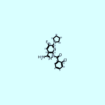 Nc1nn(C(=O)c2ccccc2Cl)c2nc(N3CCCC3)c(F)cc12